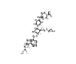 COCCCOc1cc(CCC(=O)NC(=N)NCCC(C)C)ccc1-c1ccc(CN2CCC(N(C)C)CC2)cc1